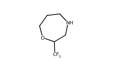 FC(F)(F)C1CNCCCO1